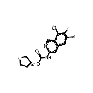 O=C(Nc1cc2cc(I)c(F)c(Cl)c2cn1)O[C@@H]1CCOC1